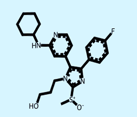 C[S+]([O-])c1nc(-c2ccc(F)cc2)c(-c2ccnc(NC3CCCCC3)c2)n1CCCO